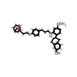 COc1ccc(C2CCc3cc(O)ccc3C2)c(NCCCc2ccc(OCCN3CC4CCC(CC4)C3)cc2)c1